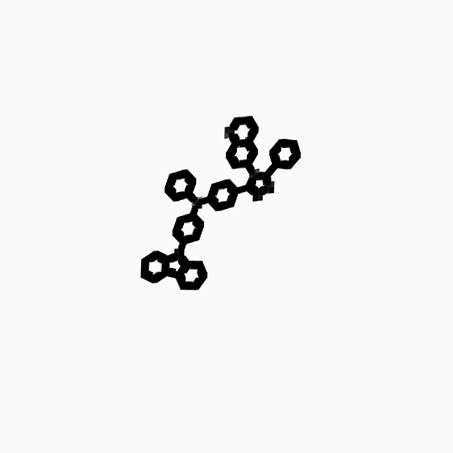 c1ccc(-c2nnc(-c3ccc(N(c4ccccc4)c4ccc(-n5c6ccccc6c6ccccc65)cc4)cc3)n2-c2ccc3ncccc3c2)cc1